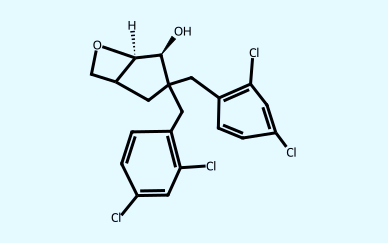 O[C@@H]1[C@@H]2OCC2CC1(Cc1ccc(Cl)cc1Cl)Cc1ccc(Cl)cc1Cl